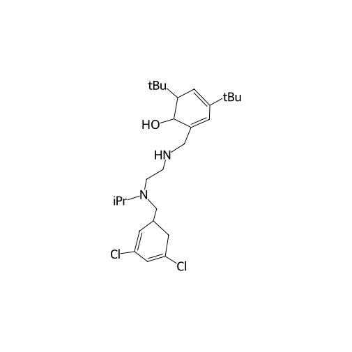 CC(C)N(CCNCC1=CC(C(C)(C)C)=CC(C(C)(C)C)C1O)CC1C=C(Cl)C=C(Cl)C1